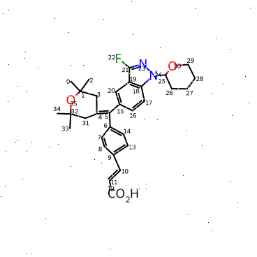 CC1(C)CC(=C(c2ccc(C=CC(=O)O)cc2)c2ccc3c(c2)c(F)nn3C2CCCCO2)CC(C)(C)O1